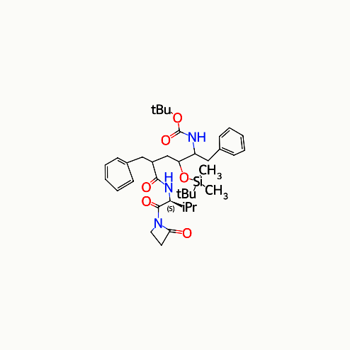 CC(C)[C@H](NC(=O)C(Cc1ccccc1)CC(O[Si](C)(C)C(C)(C)C)C(Cc1ccccc1)NC(=O)OC(C)(C)C)C(=O)N1CCC1=O